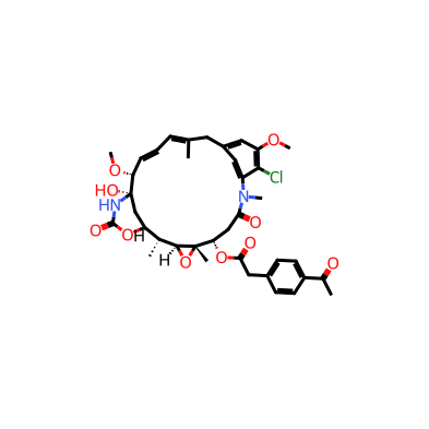 COc1cc2cc(c1Cl)N(C)C(=O)C[C@H](OC(=O)Cc1ccc(C(C)=O)cc1)[C@]1(C)O[C@H]1[C@H](C)[C@@H]1C[C@@](O)(NC(=O)O1)[C@H](OC)/C=C/C=C(\C)C2